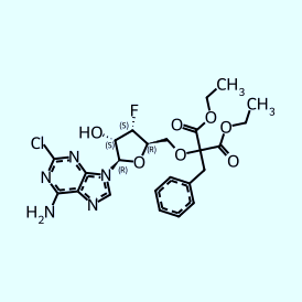 CCOC(=O)C(Cc1ccccc1)(OC[C@H]1O[C@@H](n2cnc3c(N)nc(Cl)nc32)[C@H](O)[C@@H]1F)C(=O)OCC